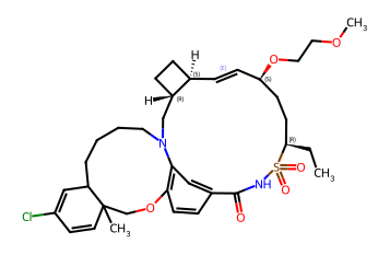 CC[C@@H]1CC[C@H](OCCOC)/C=C/[C@@H]2CC[C@H]2CN2CCCCC3C=C(Cl)C=CC3(C)COc3ccc(cc32)C(=O)NS1(=O)=O